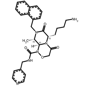 C[C@H]1[C@@H]2N(C(=O)NCc3ccncc3)OCC(=O)N2[C@@H](CCCCN)C(=O)N1Cc1cccc2ccccc12